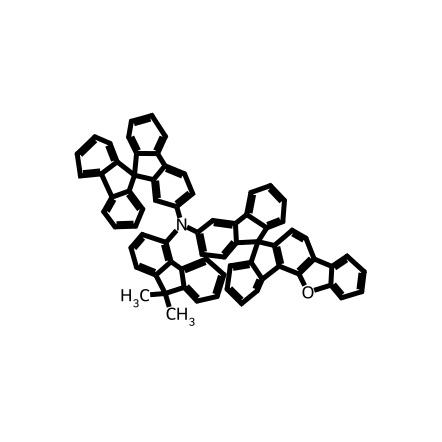 CC1(C)c2ccccc2-c2c(N(c3ccc4c(c3)-c3ccccc3C43c4ccccc4-c4c3ccc3c4oc4ccccc43)c3ccc4c(c3)C3(c5ccccc5-c5ccccc53)c3ccccc3-4)cccc21